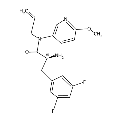 C=CCN(C(=O)[C@@H](N)Cc1cc(F)cc(F)c1)c1ccc(OC)nc1